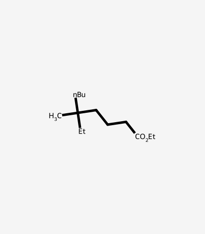 CCCCC(C)(CC)CCCC(=O)OCC